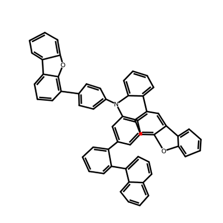 c1cc(-c2ccccc2-c2cccc3ccccc23)cc(N(c2ccc(-c3cccc4c3oc3ccccc34)cc2)c2ccccc2-c2ccc3oc4ccccc4c3c2)c1